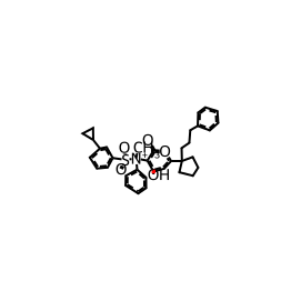 C[N+](c1ccccc1)(c1c(O)cc(C2(CCCc3ccccc3)CCCC2)oc1=O)S(=O)(=O)c1cccc(C2CC2)c1